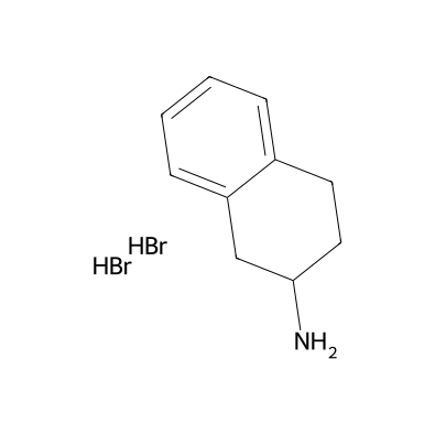 Br.Br.NC1CCc2ccccc2C1